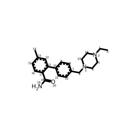 CCN1CCN(Cc2ccc(-c3cc(C)ccc3C(N)=O)cc2)CC1